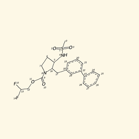 CS(=O)(=O)NC1CCN(C(=O)OCC(F)F)C1Cc1cccc(-c2ccccc2)c1